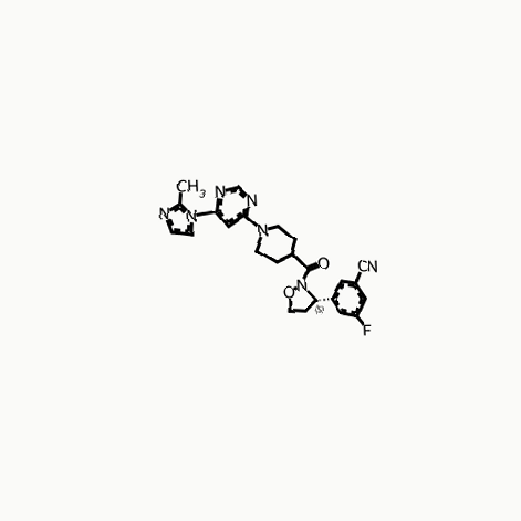 Cc1nccn1-c1cc(N2CCC(C(=O)N3OCC[C@H]3c3cc(F)cc(C#N)c3)CC2)ncn1